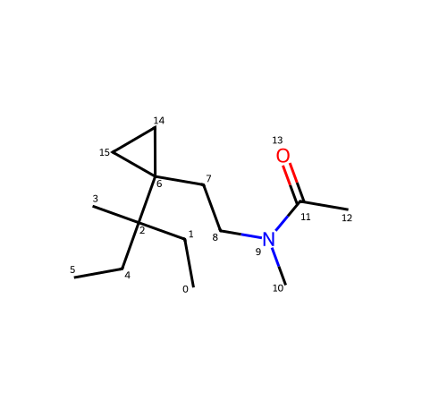 CCC(C)(CC)C1(CCN(C)C(C)=O)CC1